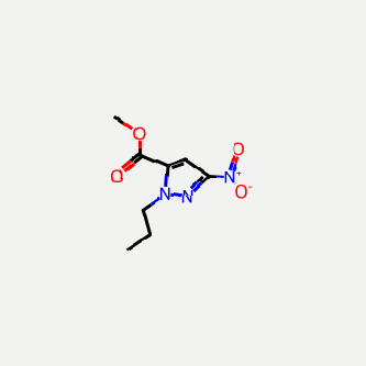 CCCn1nc([N+](=O)[O-])cc1C(=O)OC